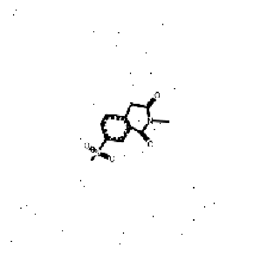 CN1C(=O)Cc2ccc(S(C)(=O)=O)cc2C1=O